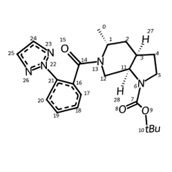 C[C@@H]1C[C@H]2CCN(C(=O)OC(C)(C)C)[C@H]2CN1C(=O)c1ccccc1-n1nccn1